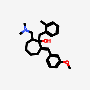 COc1cccc(C=C2CCCCC(CN(C)C)C2(O)Cc2ccccc2C)c1